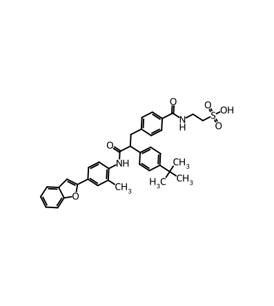 Cc1cc(-c2cc3ccccc3o2)ccc1NC(=O)C(Cc1ccc(C(=O)NCCS(=O)(=O)O)cc1)c1ccc(C(C)(C)C)cc1